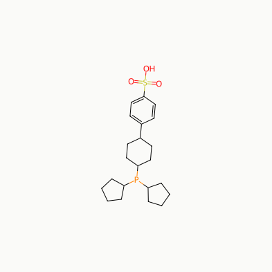 O=S(=O)(O)c1ccc(C2CCC(P(C3CCCC3)C3CCCC3)CC2)cc1